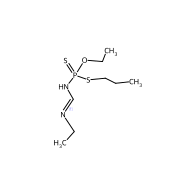 CCCSP(=S)(N/C=N/CC)OCC